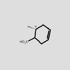 C[C@@H]1CC=CCC1C(=O)O